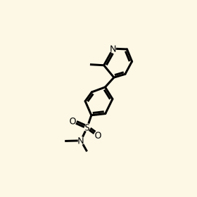 Cc1ncccc1-c1ccc(S(=O)(=O)N(C)C)cc1